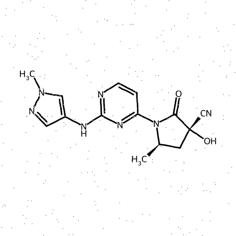 C[C@@H]1C[C@](O)(C#N)C(=O)N1c1ccnc(Nc2cnn(C)c2)n1